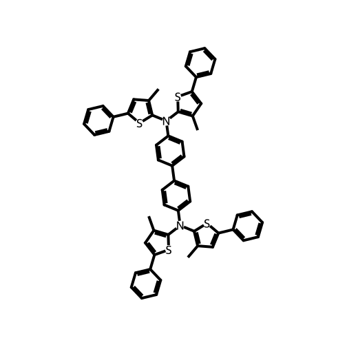 Cc1cc(-c2ccccc2)sc1N(c1ccc(-c2ccc(N(c3sc(-c4ccccc4)cc3C)c3sc(-c4ccccc4)cc3C)cc2)cc1)c1sc(-c2ccccc2)cc1C